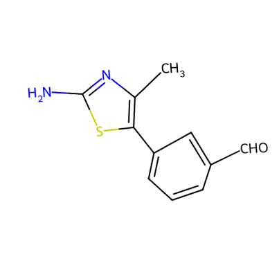 Cc1nc(N)sc1-c1cccc(C=O)c1